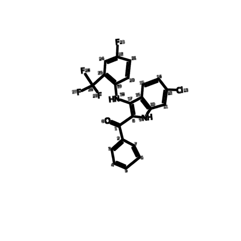 O=C(c1ccccc1)c1[nH]c2cc(Cl)ccc2c1Nc1ccc(F)cc1C(F)(F)F